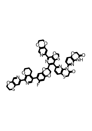 O=C1COc2ccc(N3C(=O)CSc4ccc(-c5c(C6COc7cc(F)c(-c8[c]nc(-c9cc%10c(cn9)OCCS%10)c9c8CCCO9)cc7O6)nc(-c6cc7c(cn6)OCCO7)c6c5SCO6)nc43)nc2N1